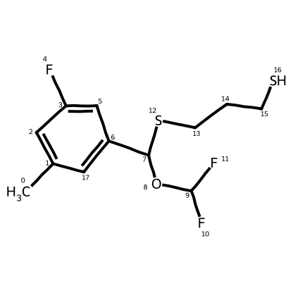 Cc1cc(F)cc(C(OC(F)F)SCCCS)c1